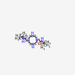 CC(C)(C)NC(=O)CN1CCNCCN(CC(=O)NC(C)(C)C)CCNCC1